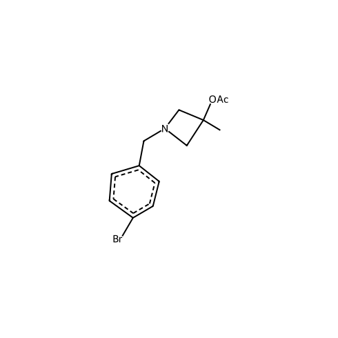 CC(=O)OC1(C)CN(Cc2ccc(Br)cc2)C1